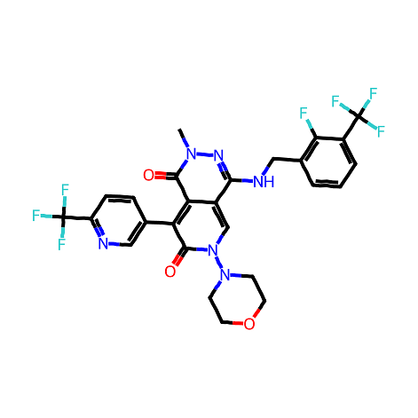 Cn1nc(NCc2cccc(C(F)(F)F)c2F)c2cn(N3CCOCC3)c(=O)c(-c3ccc(C(F)(F)F)nc3)c2c1=O